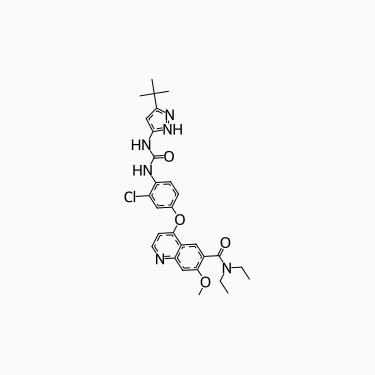 CCN(CC)C(=O)c1cc2c(Oc3ccc(NC(=O)Nc4cc(C(C)(C)C)n[nH]4)c(Cl)c3)ccnc2cc1OC